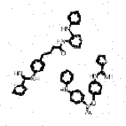 CC(=O)N(Oc1ccc(NC(=N)c2cccs2)cc1)c1ccc(Nc2ccccc2)cc1.N=C(Nc1ccc(CCCC(=O)Nc2ccccc2Nc2ccccc2)cc1)c1cccs1